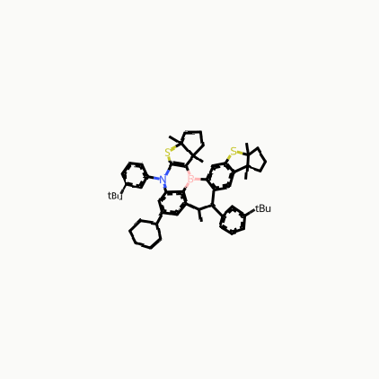 CC1c2cc(C3CCCCC3)cc3c2B(C2=C(SC4(C)CCCC24C)N3c2cccc(C(C)(C)C)c2)c2cc3c(cc2C1c1cccc(C(C)(C)C)c1)C1(C)CCCC1(C)S3